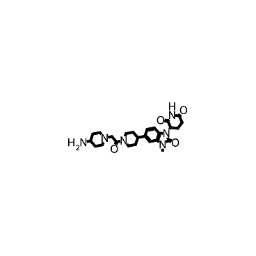 Cn1c(=O)n(C2CCC(=O)NC2=O)c2ccc(C3CCN(C(=O)CN4CCC(N)CC4)CC3)cc21